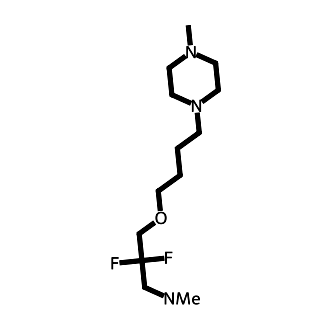 CNCC(F)(F)COCCCCN1CCN(C)CC1